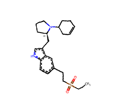 CCS(=O)(=O)CCc1ccc2[nH]cc(C[C@H]3CCCN3C3CC=CCC3)c2c1